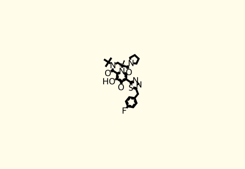 CC(C)(C)N1C[C@](C)(C(=O)N2CCCC2)n2cc(-c3nnc(Cc4ccc(F)cc4)s3)c(=O)c(O)c2C1=O